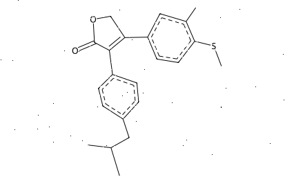 CSc1ccc(C2=C(c3ccc(CC(C)C)cc3)C(=O)OC2)cc1C